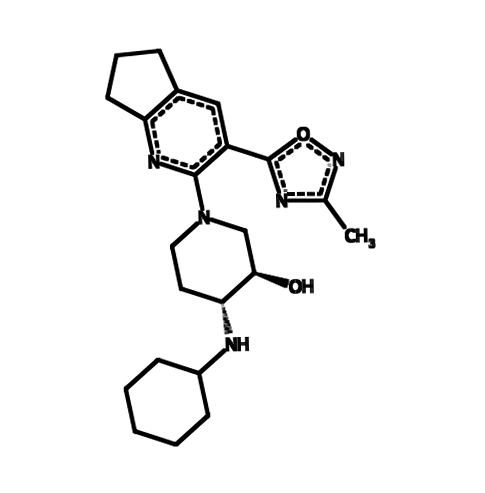 Cc1noc(-c2cc3c(nc2N2CC[C@@H](NC4CCCCC4)[C@H](O)C2)CCC3)n1